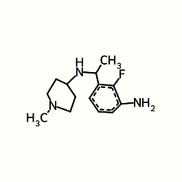 CC(NC1CCN(C)CC1)c1cccc(N)c1F